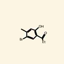 CCC(=O)c1cc(Br)c(C)cc1O